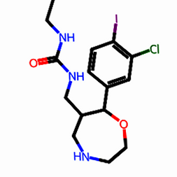 CCNC(=O)NCC1CNCCOC1c1ccc(I)c(Cl)c1